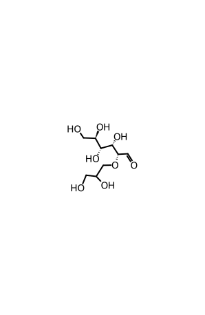 O=C[C@H](OCC(O)CO)[C@@H](O)[C@H](O)[C@H](O)CO